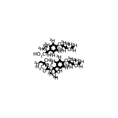 [2H]CC(C)(C)OC(=O)N([2H])C(C)(C(=O)O[2H])c1c([2H])c([2H])c(OC([2H])([2H])C([2H])([2H])OC([2H])([2H])[2H])c([2H])c1[2H].[2H]c1c([2H])c(C([2H])(C(=O)O)N([2H])[2H])c([2H])c([2H])c1OC([2H])([2H])C([2H])([2H])OC([2H])([2H])[2H]